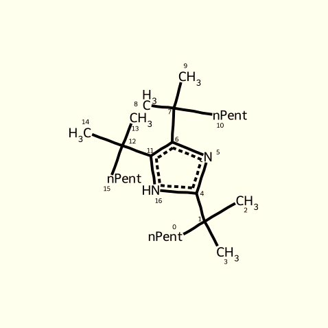 CCCCCC(C)(C)c1nc(C(C)(C)CCCCC)c(C(C)(C)CCCCC)[nH]1